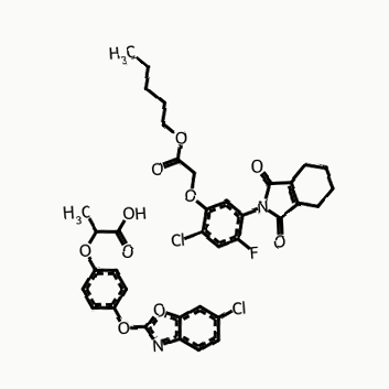 CC(Oc1ccc(Oc2nc3ccc(Cl)cc3o2)cc1)C(=O)O.CCCCCOC(=O)COc1cc(N2C(=O)C3=C(CCCC3)C2=O)c(F)cc1Cl